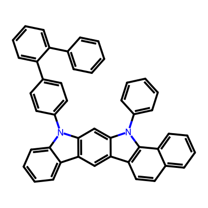 c1ccc(-c2ccccc2-c2ccc(-n3c4ccccc4c4cc5c6ccc7ccccc7c6n(-c6ccccc6)c5cc43)cc2)cc1